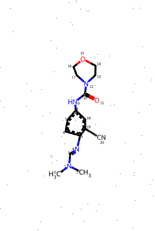 CN(C)/C=N/c1ccc(NC(=O)N2CCOCC2)cc1C#N